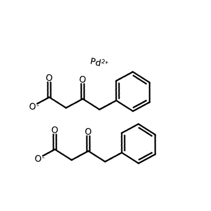 O=C([O-])CC(=O)Cc1ccccc1.O=C([O-])CC(=O)Cc1ccccc1.[Pd+2]